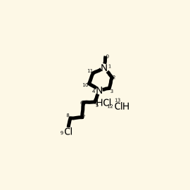 CN1CCN(CCCCCl)CC1.Cl.Cl